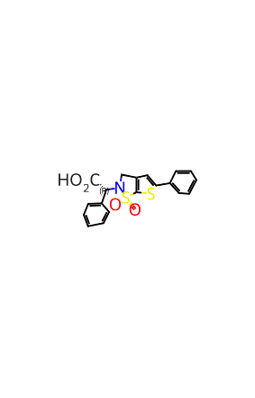 O=C(O)[C@@H](c1ccccc1)N1Cc2cc(-c3ccccc3)sc2S1(=O)=O